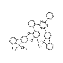 CC1(C)c2ccccc2-c2ccc(-c3nc(-c4ccccc4)nc(-c4ccccc4-c4cccc5c4Oc4cc6c(cc4O5)C(C)(C)c4ccccc4-6)n3)cc21